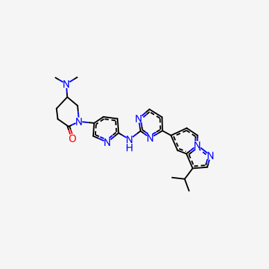 CC(C)c1cnn2ccc(-c3ccnc(Nc4ccc(N5CC(N(C)C)CCC5=O)cn4)n3)cc12